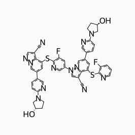 N#Cc1cnn2cc(-c3ccc(N4CC[C@H](O)C4)nc3)cc(Sc3ncc(-[n+]4cc(C#N)c5c(Sc6ncccc6F)cc(-c6ccc(N7CC[C@@H](O)C7)nc6)cn54)cc3F)c12